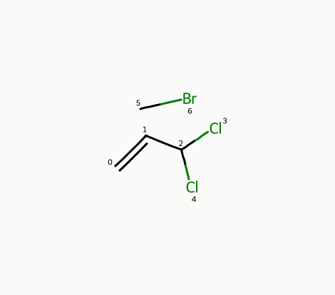 C=CC(Cl)Cl.CBr